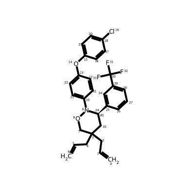 C=CCC1(CC=C)CON(c2ccc(Oc3ccc(Cl)cc3)cc2)[C@@H](c2cccc(C(F)(F)F)c2)C1